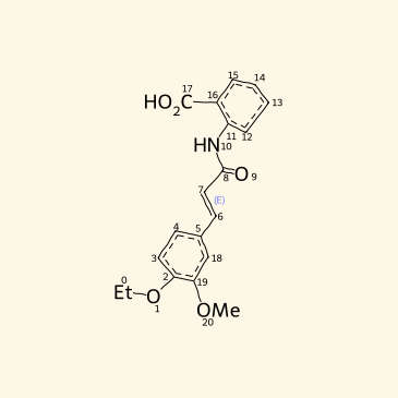 CCOc1ccc(/C=C/C(=O)Nc2ccccc2C(=O)O)cc1OC